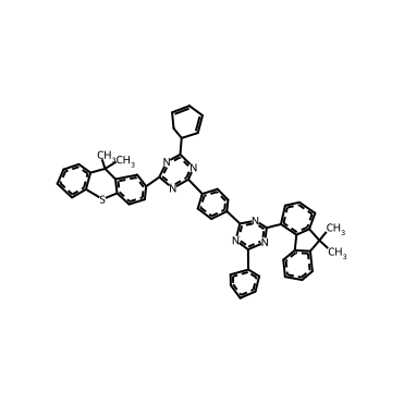 CC1(C)c2ccccc2Sc2ccc(-c3nc(-c4ccc(-c5nc(-c6ccccc6)nc(-c6cccc7c6-c6ccccc6C7(C)C)n5)cc4)nc(C4C=CC=CC4)n3)cc21